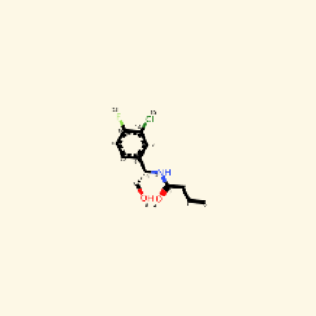 CCCC(=O)N[C@H](CO)c1ccc(F)c(Cl)c1